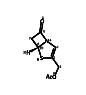 CC(=O)OCC1=CN2C(=O)C[C@H]2S1